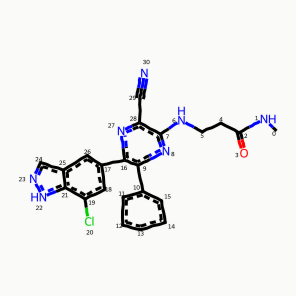 CNC(=O)CCNc1nc(-c2ccccc2)c(-c2cc(Cl)c3[nH]ncc3c2)nc1C#N